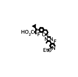 CCOc1cc(-c2ncc([C@H]3CCc4ccc([C@H](C5CC5)[C@H](C)C(=O)O)c(F)c4O3)nc2C)c(F)cn1